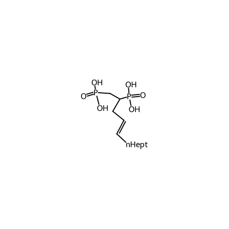 CCCCCCC/C=C/CC(CP(=O)(O)O)P(=O)(O)O